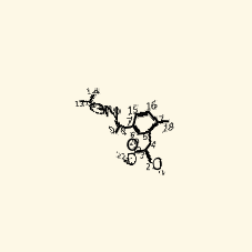 CO/C=C(\Cc1cc(/C(C)=N/OC(C)C)ccc1C)C(=O)OC